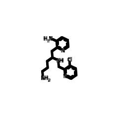 NCCCC(Cc1ncccc1N)NCc1ncccc1Cl